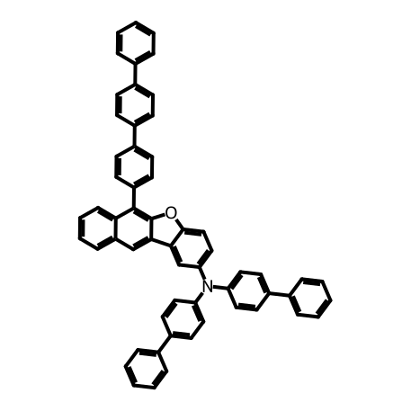 c1ccc(-c2ccc(-c3ccc(-c4c5ccccc5cc5c4oc4ccc(N(c6ccc(-c7ccccc7)cc6)c6ccc(-c7ccccc7)cc6)cc45)cc3)cc2)cc1